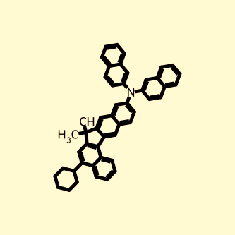 CC1(C)c2cc3cc(N(c4ccc5ccccc5c4)c4ccc5ccccc5c4)ccc3cc2-c2c1cc(C1CCCCC1)c1ccccc21